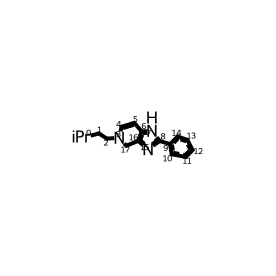 CC(C)CCN1C=Cc2[nH]c(-c3ccccc3)nc2C1